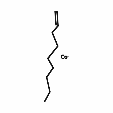 C=CCCCCCCC.[Co]